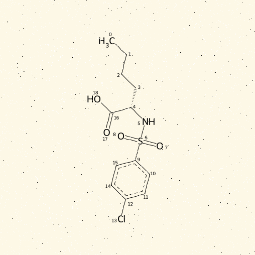 CCCC[C@H](NS(=O)(=O)c1ccc(Cl)cc1)C(=O)O